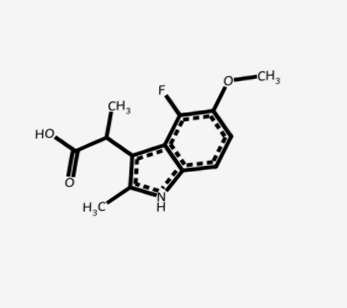 COc1ccc2[nH]c(C)c(C(C)C(=O)O)c2c1F